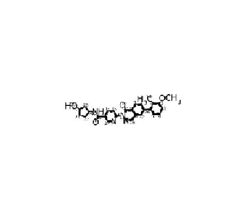 COc1cccc(-c2ccc3c(=O)n(-c4ccc(C(=O)N[C@H]5CC[C@@H](O)C5)cn4)ncc3c2)c1C